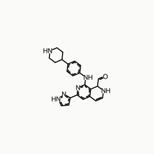 O=CC1NC=Cc2cc(-c3cc[nH]n3)nc(Nc3ccc(C4CCNCC4)cc3)c21